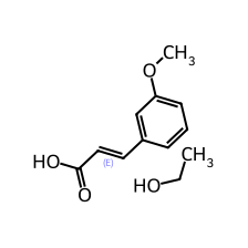 CCO.COc1cccc(/C=C/C(=O)O)c1